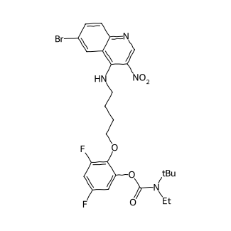 CCN(C(=O)Oc1cc(F)cc(F)c1OCCCCNc1c([N+](=O)[O-])cnc2ccc(Br)cc12)C(C)(C)C